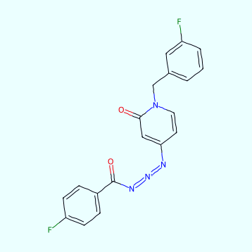 O=C(N=[N+]=Nc1ccn(Cc2cccc(F)c2)c(=O)c1)c1ccc(F)cc1